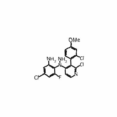 COc1ccc(-c2c(N(N)c3c(N)cc(Cl)cc3F)ccnc2Cl)c(Cl)c1